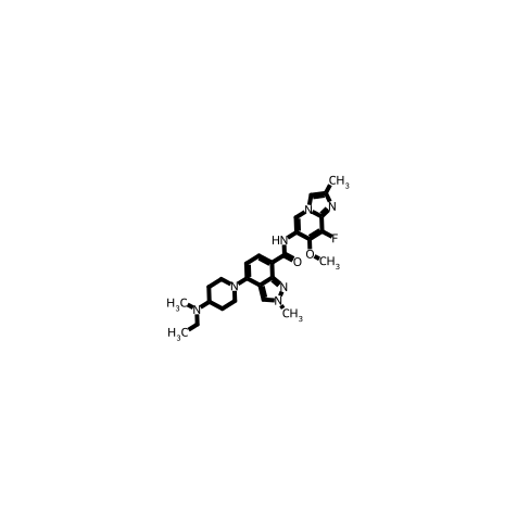 CCN(C)C1CCN(c2ccc(C(=O)Nc3cn4cc(C)nc4c(F)c3OC)c3nn(C)cc23)CC1